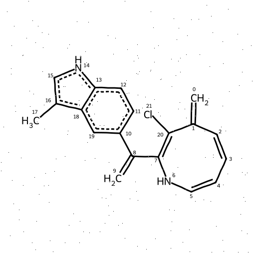 C=C1/C=C\C=C/N/C(C(=C)c2ccc3[nH]cc(C)c3c2)=C\1Cl